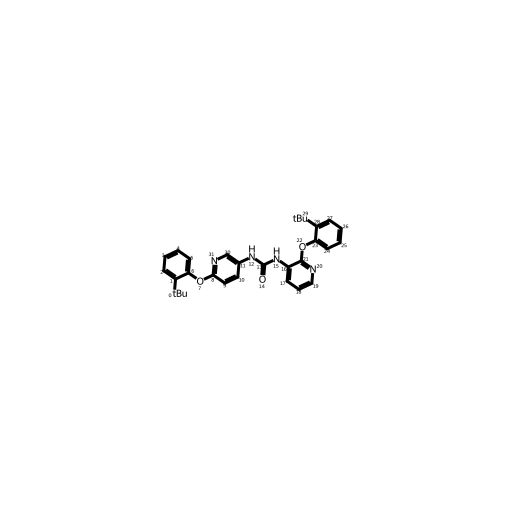 CC(C)(C)c1ccccc1Oc1ccc(NC(=O)Nc2cccnc2Oc2ccccc2C(C)(C)C)cn1